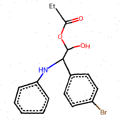 CCC(=O)OC(O)C(Nc1ccccc1)c1ccc(Br)cc1